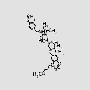 COCCCOc1cc(C[C@@H](C[C@H](N)[C@@H](O)C[C@H](C(=O)NCc2ccc(SC)cc2)C(C)C)C(C)C)ccc1OC